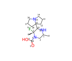 CC1CN(C(=O)O)[C@](C)(F)C(C23CCCN2CCC3)N1